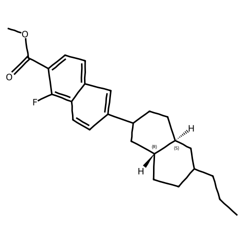 CCCC1CC[C@@H]2CC(c3ccc4c(F)c(C(=O)OC)ccc4c3)CC[C@H]2C1